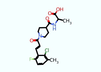 Cc1ccc(F)c(C=CC(=O)N2CCC(C(=O)NC(C)C(=O)O)CC2)c1Cl